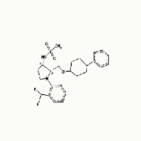 CS(=O)(=O)N[C@H]1CCN(c2ncccc2C(F)F)[C@H]1COC1CCC(c2ccccc2)CC1